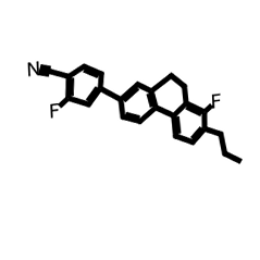 CCCc1ccc2c(c1F)CCc1cc(-c3ccc(C#N)c(F)c3)ccc1-2